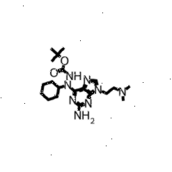 CN(C)CCn1cnc2c(N(NC(=O)OC(C)(C)C)C3CCCCC3)nc(N)nc21